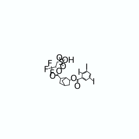 O=C(OC1CC2CC(C(=O)OC(CS(=O)(=O)O)C(F)(F)F)C1C2)c1cc(I)cc(I)c1I